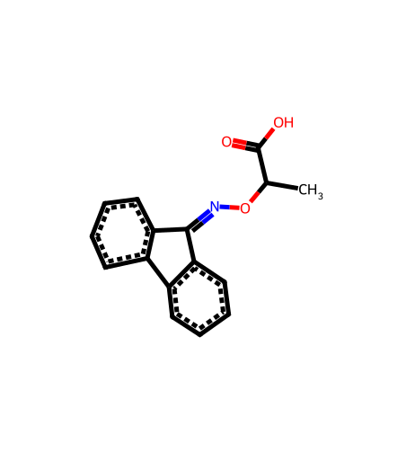 CC(ON=C1c2ccccc2-c2ccccc21)C(=O)O